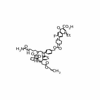 C=CCOC(=O)C[C@@H](NC(=O)C1(C(=O)N[C@@H](CCCNC(N)=O)CNc2ccc(COC(=O)N3CCN(c4cc5c(cc4F)c(=O)c(C(=O)O)cn5CC)CC3)cc2)CCC1)c1ccsc1